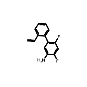 C=Cc1ccccc1-c1cc(N)c(F)cc1F